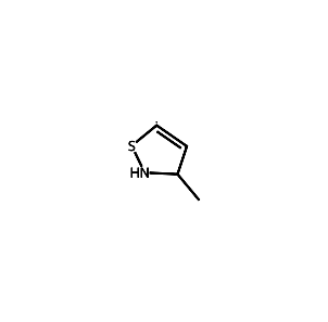 CC1C=[C]SN1